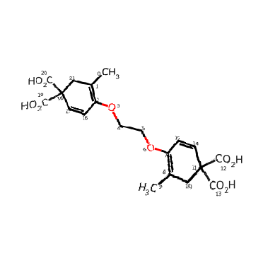 CC1=C(OCCOC2=C(C)CC(C(=O)O)(C(=O)O)C=C2)C=CC(C(=O)O)(C(=O)O)C1